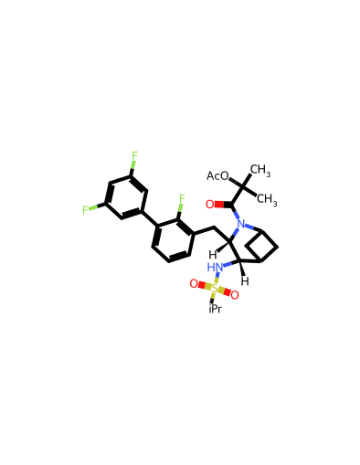 CC(=O)OC(C)(C)C(=O)N1C2CC(C2)[C@H](NS(=O)(=O)C(C)C)[C@@H]1Cc1cccc(-c2cc(F)cc(F)c2)c1F